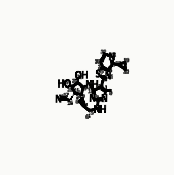 Cc1nc(N[C@H](C)C2CC2)nc(N[C@@H]2C[C@H](CC#N)[C@@H](O)[C@H]2O)c1-c1nc2c(C3CC3)nccc2s1